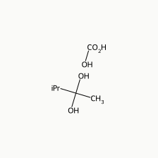 CC(C)C(C)(O)O.O=C(O)O